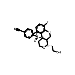 N#Cc1ccc(S(=O)(=O)[C@@]23CCO[C@@H](CCO)C2COc2c(F)ccc(F)c23)cc1